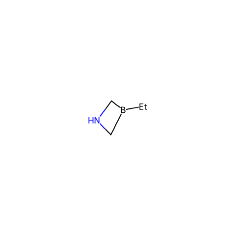 CCB1CNC1